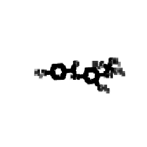 Cc1cc(NC(=O)c2ccc(N)cc2)ccc1NC(C)(C)C